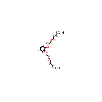 O=S(=O)(O)CCCOCCOc1ccccc1OCCOCCCS(=O)(=O)O